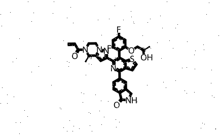 C=CC(=O)N1CCn2nc(-c3nc(-c4ccc5c(c4)CNC5=O)c4ccsc4c3-c3c(F)cc(F)cc3OC[C@@H](C)O)cc2[C@H]1C